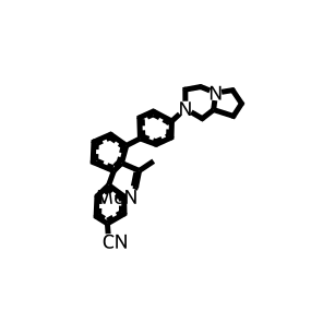 CN/C=C(/C)c1c(-c2ccc(C#N)cc2)cccc1-c1ccc(N2CCN3CCCC3C2)cc1